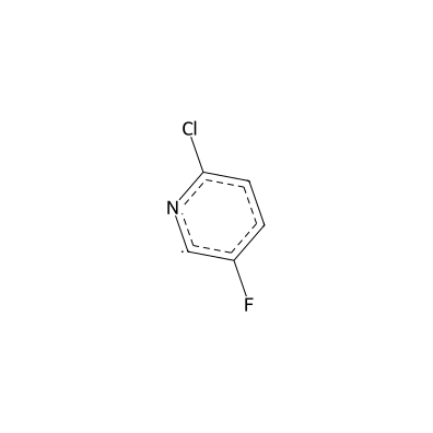 Fc1[c]nc(Cl)cc1